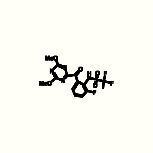 COc1nc(OC)nc(C(=O)c2cccc(F)c2NS(=O)(=O)C(C)(F)F)n1